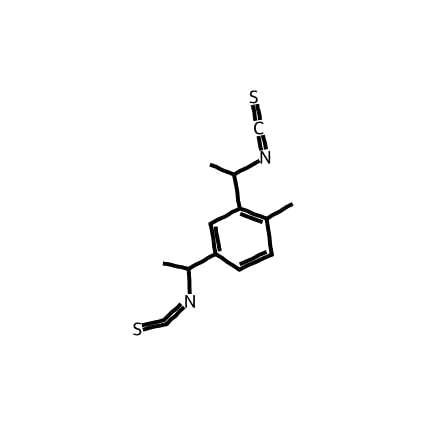 Cc1ccc(C(C)N=C=S)cc1C(C)N=C=S